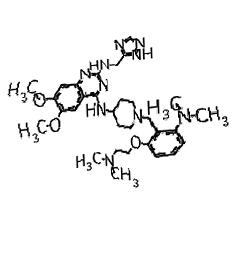 COc1cc2nc(NCc3ncn[nH]3)nc(NC3CCN(Cc4c(OCCN(C)C)cccc4N(C)C)CC3)c2cc1OC